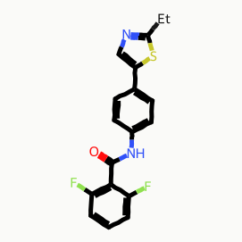 [CH2]Cc1ncc(-c2ccc(NC(=O)c3c(F)cccc3F)cc2)s1